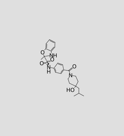 CC(C)CC1(O)CCN(C(=O)c2ccc(NS(=O)(=O)C3(C)Nc4ccccc4O3)cc2)CC1